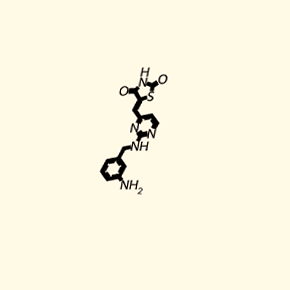 Nc1cccc(CNc2nccc(/C=C3\SC(=O)NC3=O)n2)c1